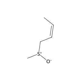 C/C=C\C[S+](C)[O-]